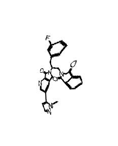 Cn1nccc1-c1cnc2c(c1)CN(C(Cc1cccc(F)c1)CN1C(=O)c3ccccc3C1=O)C2=O